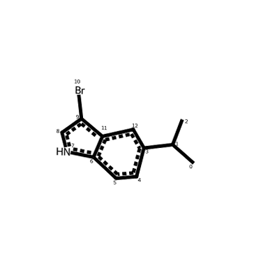 CC(C)c1ccc2[nH]cc(Br)c2c1